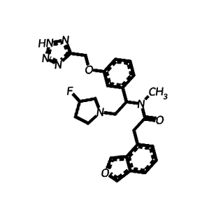 CN(C(=O)Cc1cccc2cocc12)C(CN1CCC(F)C1)c1cccc(OCc2nn[nH]n2)c1